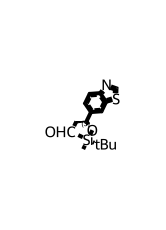 CC(C)(C)[Si](C)(C)O[C@@H](CC=O)c1ccc2ncsc2c1